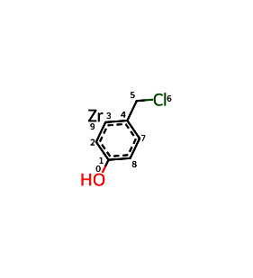 Oc1ccc(CCl)cc1.[Zr]